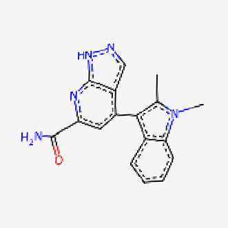 Cc1c(-c2cc(C(N)=O)nc3[nH]ncc23)c2ccccc2n1C